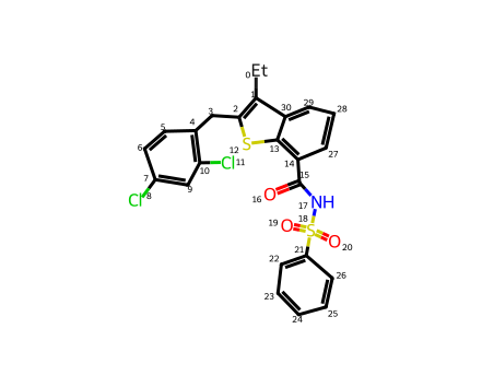 CCc1c(Cc2ccc(Cl)cc2Cl)sc2c(C(=O)NS(=O)(=O)c3ccccc3)cccc12